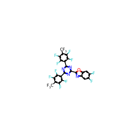 Fc1cc2nc(-c3nc(-c4c(F)c(F)c(C(F)(F)F)c(F)c4F)nc(-c4c(F)c(F)c(C(F)(F)F)c(F)c4F)n3)oc2cc1F